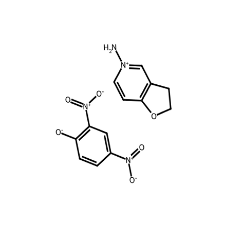 N[n+]1ccc2c(c1)CCO2.O=[N+]([O-])c1ccc([O-])c([N+](=O)[O-])c1